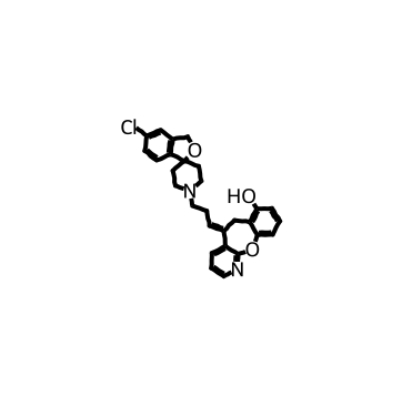 Oc1cccc2c1CC(=CCCN1CCC3(CC1)OCc1cc(Cl)ccc13)c1cccnc1O2